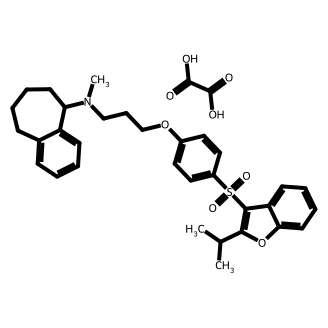 CC(C)c1oc2ccccc2c1S(=O)(=O)c1ccc(OCCCN(C)C2CCCCc3ccccc32)cc1.O=C(O)C(=O)O